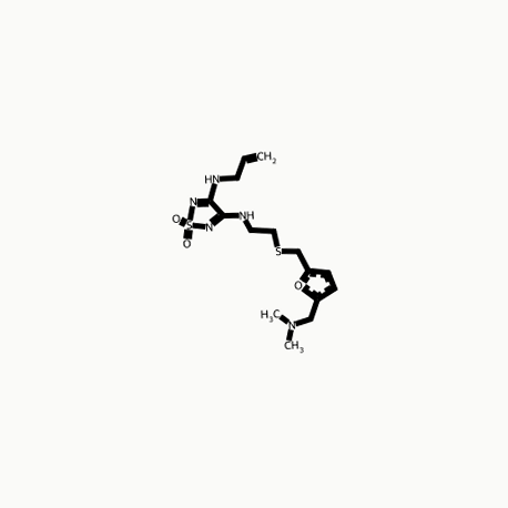 C=CCNC1=NS(=O)(=O)N=C1NCCSCc1ccc(CN(C)C)o1